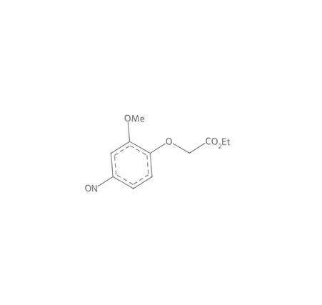 CCOC(=O)COc1ccc(N=O)cc1OC